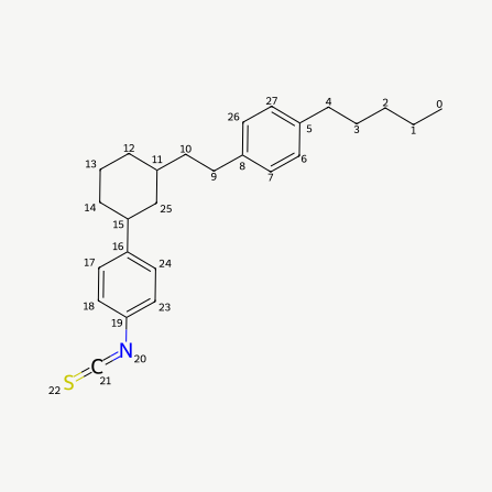 CCCCCc1ccc(CCC2CCCC(c3ccc(N=C=S)cc3)C2)cc1